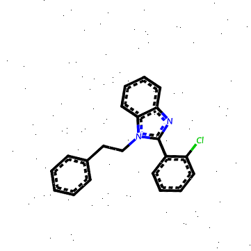 Clc1ccccc1-c1nc2ccccc2n1CCc1ccccc1